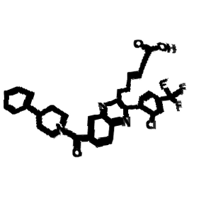 O=C(O)CCCCc1nc2cc(C(=O)N3CCC(c4ccccc4)CC3)ccc2nc1-c1ccc(C(F)(F)F)cc1Cl